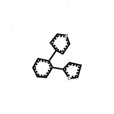 [c]1cccc(-c2ccncc2)c1-c1ccco1